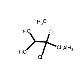 O.OC(O)C(Cl)(Cl)Cl.[AlH3]